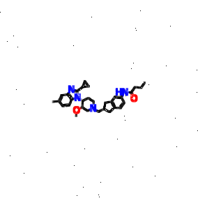 CCCC(=O)Nc1ccc2c(c1)C[C@H](CN1CC[C@@H](n3c(C4CC4)nc4cc(C)ccc43)[C@H](OC)C1)C2